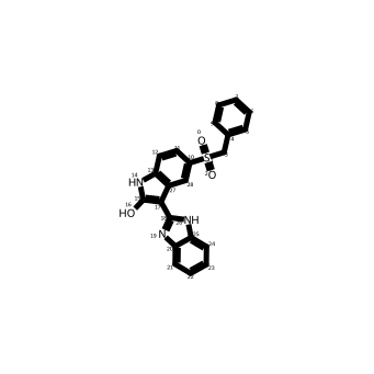 O=S(=O)(Cc1ccccc1)c1ccc2[nH]c(O)c(-c3nc4ccccc4[nH]3)c2c1